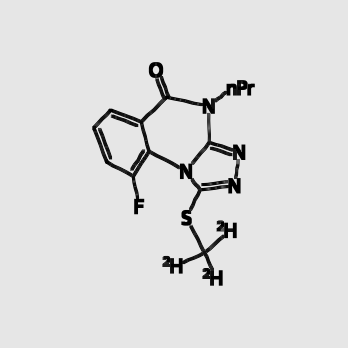 [2H]C([2H])([2H])Sc1nnc2n(CCC)c(=O)c3cccc(F)c3n12